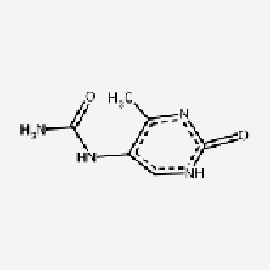 Cc1nc(=O)[nH]cc1NC(N)=O